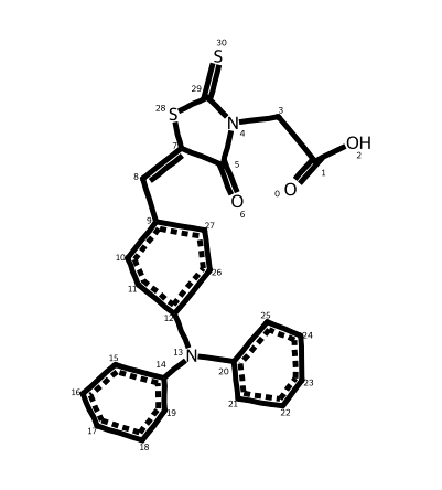 O=C(O)CN1C(=O)/C(=C\c2ccc(N(c3ccccc3)c3ccccc3)cc2)SC1=S